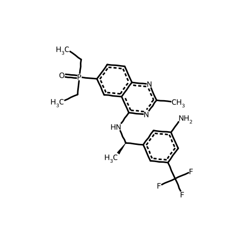 CCP(=O)(CC)c1ccc2nc(C)nc(N[C@H](C)c3cc(N)cc(C(F)(F)F)c3)c2c1